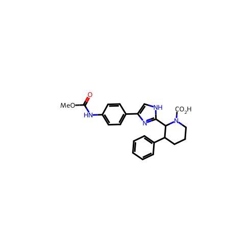 COC(=O)Nc1ccc(-c2c[nH]c(C3C(c4ccccc4)CCCN3C(=O)O)n2)cc1